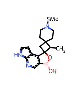 CSN1CCC2(CC1)CC1(OB(O)c3cnc4[nH]ccc4c31)C2C